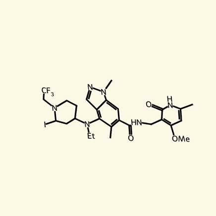 CCN(c1c(C)c(C(=O)NCc2c(OC)cc(C)[nH]c2=O)cc2c1cnn2C)C1CCN(CC(F)(F)F)C(I)C1